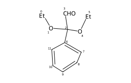 CCOC(C=O)(OCC)c1ccccc1